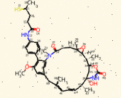 COc1cc2cc(c1-c1ccc(NC(=O)CCC(C)S)cc1)N(C)C(=O)CC[C@]1(C)O[C@H]1[C@H](C)[C@@H]1C[C@@](O)(NC(=O)O1)[C@H](C)/C=C/C=C(\C)C2